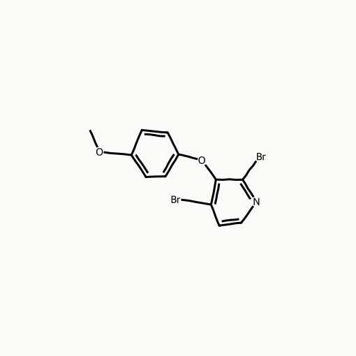 COc1ccc(Oc2c(Br)ccnc2Br)cc1